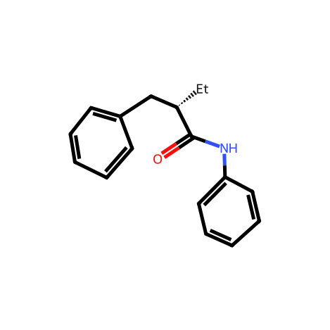 CC[C@@H](Cc1ccccc1)C(=O)Nc1ccccc1